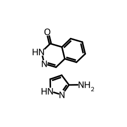 Nc1cc[nH]n1.O=c1[nH]ncc2ccccc12